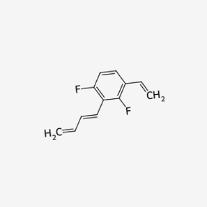 C=CC=Cc1c(F)ccc(C=C)c1F